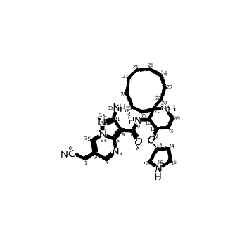 N#CCc1cnc2c(C(=O)NC3C(O[C@@H]4CCNC4)CCNC34CCCCCCCCC4)c(N)nn2c1